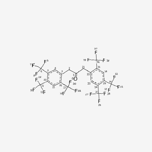 O=C(Cc1cc(C(F)(F)F)c(C(F)(F)F)cc1C(F)(F)F)Cc1cc(C(F)(F)F)c(C(F)(F)F)cc1C(F)(F)F